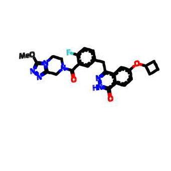 COc1nnc2n1CCN(C(=O)c1cc(Cc3n[nH]c(=O)c4ccc(OC5CCC5)cc34)ccc1F)C2